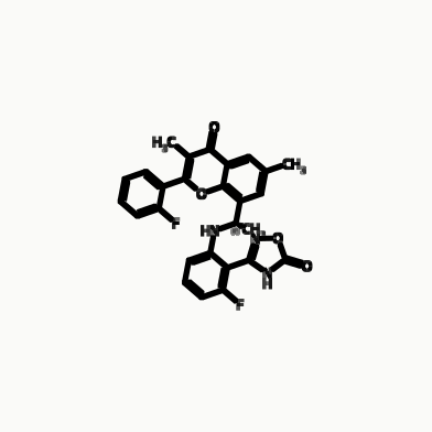 Cc1cc([C@@H](C)Nc2cccc(F)c2-c2noc(=O)[nH]2)c2oc(-c3ccccc3F)c(C)c(=O)c2c1